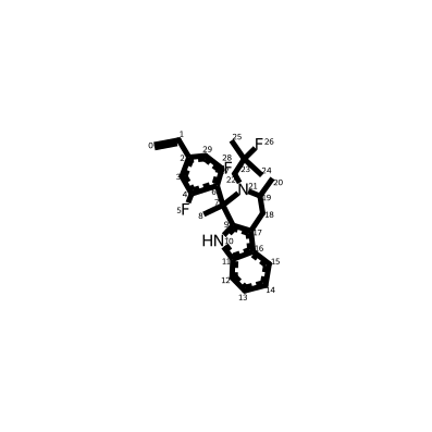 C=Cc1cc(F)c(C2(C)c3[nH]c4ccccc4c3CC(C)N2CC(C)(C)F)c(F)c1